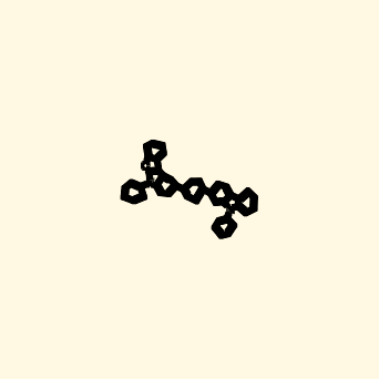 c1ccc(-n2c3ccccc3c3ccc(-c4ccc(-c5ccc6c(c5)c5c7ccccc7oc5n6-c5ccccc5)cc4)cc32)cc1